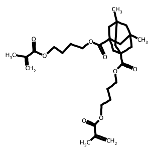 C=C(C)C(=O)OCCCCOC(=O)C12CC3(C)CC(C)(C1)CC(C(=O)OCCCCOC(=O)C(=C)C)(C3)C2